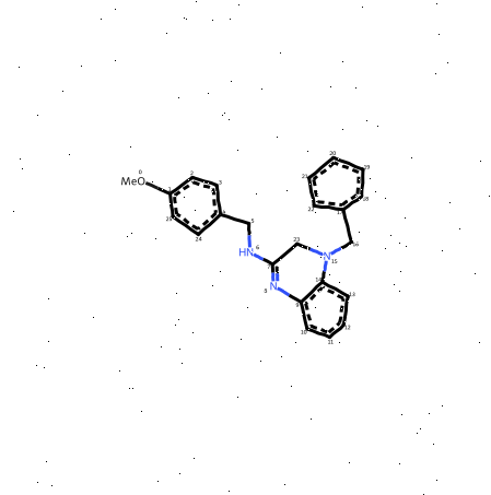 COc1ccc(CNC2=Nc3ccccc3N(Cc3ccccc3)C2)cc1